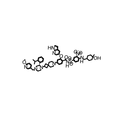 COc1ccc(CN2CCN(C3CC4(CCN(c5ccc(C(=O)NS(=O)(=O)c6ccc(NCC7CCC(C)(O)CC7)c([N+](=O)[O-])c6)c(Oc6cnc7[nH]ccc7c6)c5)CC4)C3)[C@H](c3ccccc3C(C)C)C2)cn1